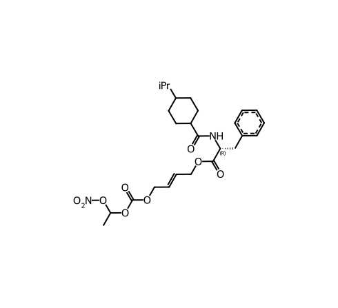 CC(OC(=O)OCC=CCOC(=O)[C@@H](Cc1ccccc1)NC(=O)C1CCC(C(C)C)CC1)O[N+](=O)[O-]